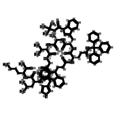 CSCC[C@H](NC(=O)[C@H](CC(C)C)NC(=O)[C@H](Cc1c[nH]cn1)NC(=O)CNC(=O)[C@@H](NC(=O)[C@H](C)NC(=O)[C@H](Cc1cn(C(=O)OC(C)(C)C)c2ccccc12)NC(=O)[C@H](CCC(=O)NC(c1ccccc1)(c1ccccc1)c1ccccc1)NC(=O)OCC1c2ccccc2-c2ccccc21)C(C)C)C(N)=O